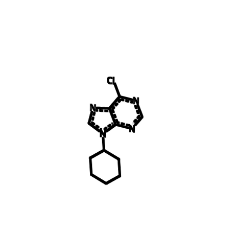 Clc1ncnc2c1ncn2C1CCCCC1